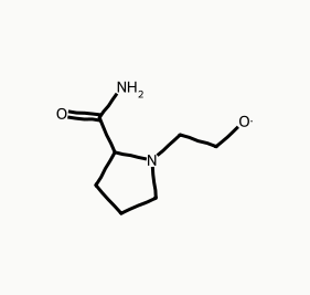 NC(=O)C1CCCN1CC[O]